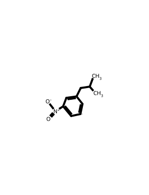 CC(C)Cc1c[c]cc([N+](=O)[O-])c1